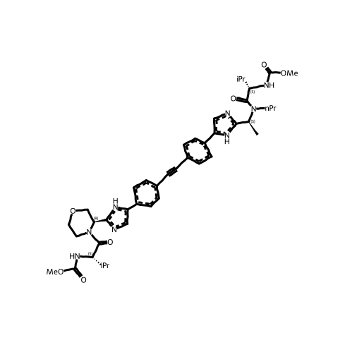 CCCN(C(=O)[C@@H](NC(=O)OC)C(C)C)[C@@H](C)c1ncc(-c2ccc(C#Cc3ccc(-c4cnc([C@@H]5COCCN5C(=O)[C@@H](NC(=O)OC)C(C)C)[nH]4)cc3)cc2)[nH]1